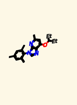 CCC(CC)Oc1cc(C)nc2c1ncn2-c1c(C)cc(C)cc1C